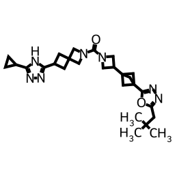 CC(C)(C)Cc1nnc(C23CC(C4CN(C(=O)N5CC6(CC(c7nnc(C8CC8)[nH]7)C6)C5)C4)(C2)C3)o1